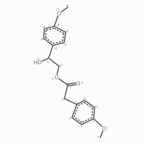 COc1ccc(CC(=O)OCC(O)c2ccc(OC)cc2)cc1